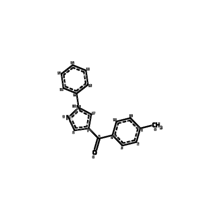 Cc1ccc(C(=O)c2cnn(-c3ccccc3)c2)cc1